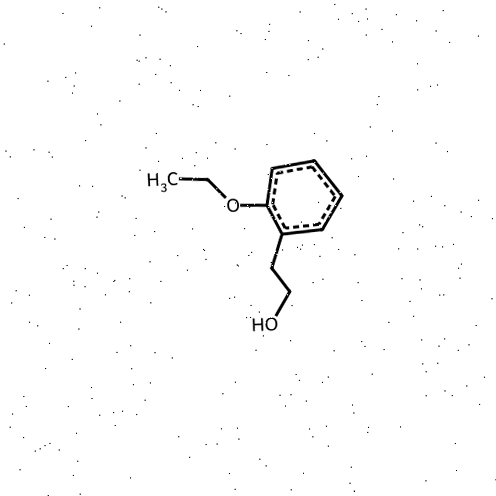 CCOc1ccccc1CCO